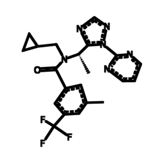 Cc1cc(C(=O)N(CC2CC2)[C@@H](C)c2ncnn2-c2ncccn2)cc(C(F)(F)F)c1